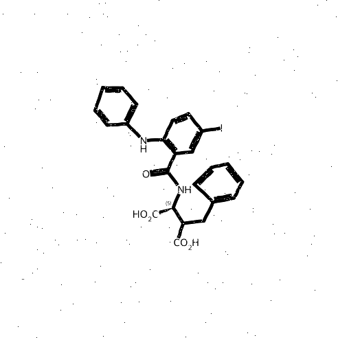 O=C(N[C@H](C(=O)O)C(Cc1ccccc1)C(=O)O)c1cc(I)ccc1Nc1ccccc1